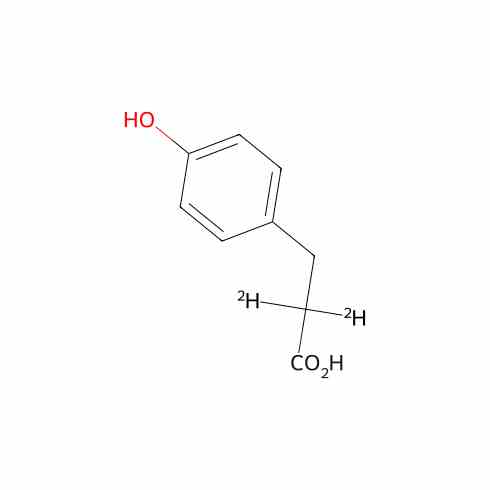 [2H]C([2H])(Cc1ccc(O)cc1)C(=O)O